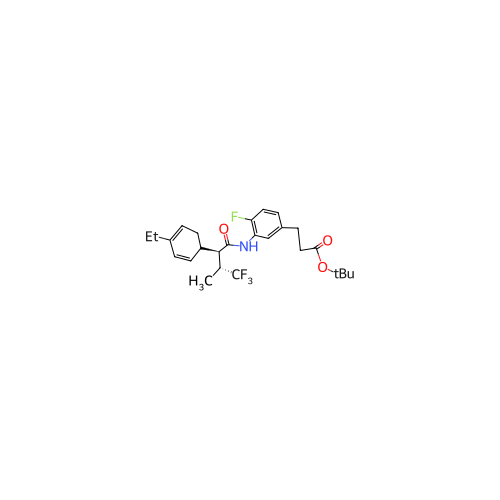 CCC1=CCC([C@@H](C(=O)Nc2cc(CCC(=O)OC(C)(C)C)ccc2F)[C@@H](C)C(F)(F)F)C=C1